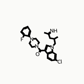 CC(=N)CC(C)Cn1cc(C(=O)N2CCN(c3ccccc3F)CC2)c2ccc(Cl)cc21